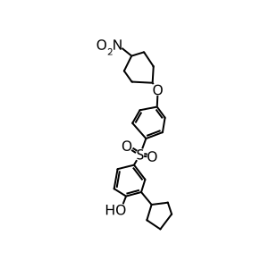 O=[N+]([O-])C1CCC(Oc2ccc(S(=O)(=O)c3ccc(O)c(C4CCCC4)c3)cc2)CC1